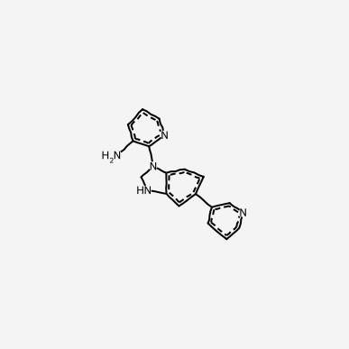 Nc1cccnc1N1CNc2cc(-c3cccnc3)ccc21